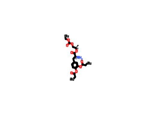 CCC(C)CC(=O)Oc1ccc(C[C@H](N)C(=O)O[C@@H](C)COC(=O)OCC(C)(C)C)cc1OC(=O)CC(C)CC